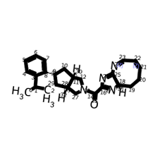 CC(C)c1ccccc1[C@@H]1C[C@@H]2CN(C(=O)C3=N[C@H]4CC/C=C\C=N/C4=N3)C[C@@H]2C1